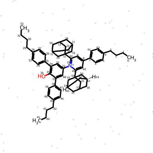 CCCCc1ccc(-c2cc(C34CC5CC(CC(C5)C3)C4)[n+](-c3cc(-c4ccc(CCCC)cc4)c(O)c(-c4ccc(CCCC)cc4)c3)c(C34CC5C[C@H](C3)C[C@H](C5)C4)c2)cc1